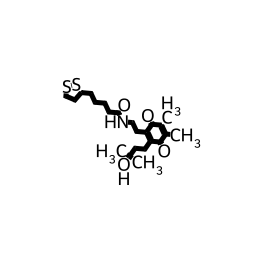 CC1=C(C)C(=O)C(CCC(C)(C)O)=C(CCNC(=O)CCCCC2CCSS2)C1=O